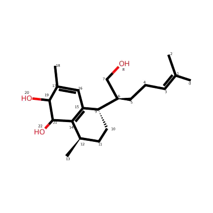 CC(C)=CCC[C@H](CO)[C@@H]1CC[C@@H](C)C2=C1C=C(C)C(O)C2O